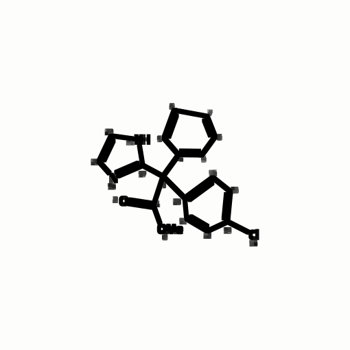 COC(=O)C(c1ccccc1)(c1ccc(Cl)cc1)c1ncc[nH]1